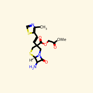 COC(=O)COC(=O)C1(C=Cc2scnc2C)CS[C@@H]2C(N)C(=O)N2C1